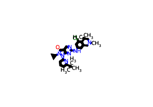 CN1Cc2cc(Nc3ncc4c(=O)n(C5CC5)n(-c5cccc(C(C)(C)C)n5)c4n3)cc(Cl)c2C(C)(C)C1